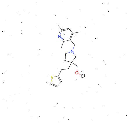 CCOCC1(CCc2cccs2)CCN(Cc2c(C)cc(C)nc2C)C1